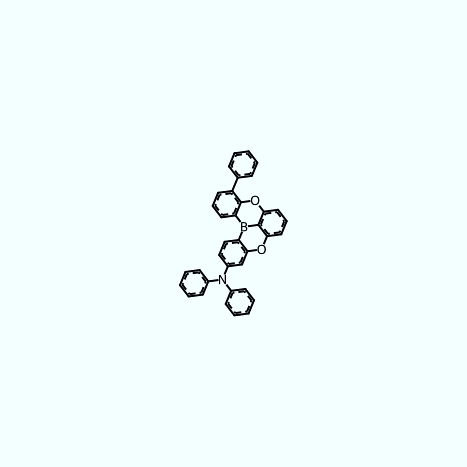 c1ccc(-c2cccc3c2Oc2cccc4c2B3c2ccc(N(c3ccccc3)c3ccccc3)cc2O4)cc1